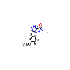 COc1cc(Cc2nnc(C(N)=O)[nH]2)ccc1F